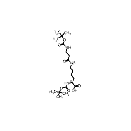 CC(C)(C)OC(=O)NCCC(=O)NCCCC[C@H](NC(=O)OC(C)(C)C)C(=O)O